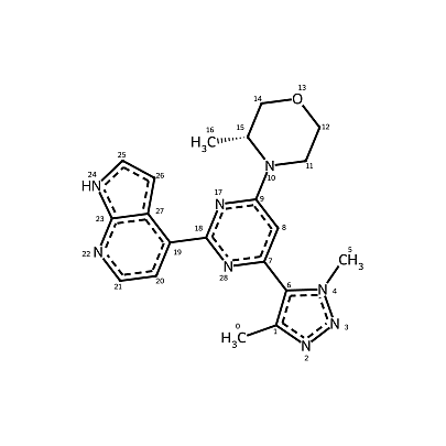 Cc1nnn(C)c1-c1cc(N2CCOC[C@H]2C)nc(-c2ccnc3[nH]ccc23)n1